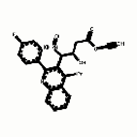 C#COC(=O)CC(O)C(c1c(-c2ccc(F)cc2)nc2ccccc2c1C(C)C)[PH](=O)O